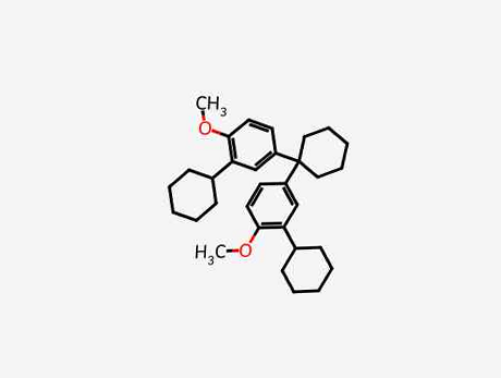 COc1ccc(C2(c3ccc(OC)c(C4CCCCC4)c3)CCCCC2)cc1C1CCCCC1